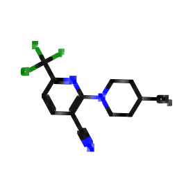 CC1CCN(c2nc(C(F)(F)Cl)ccc2C#N)CC1